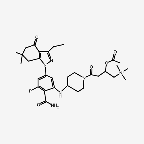 CCc1nn(-c2cc(F)c(C(N)=O)c(NC3CCN(C(=O)CC(C[N+](C)(C)C)OC(C)=O)CC3)c2)c2c1C(=O)CC(C)(C)C2